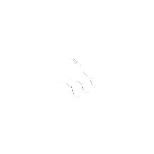 C=C.CCC[CH2][Sn+2][CH2]CCC.O=C([O-])CO.O=C([O-])CO